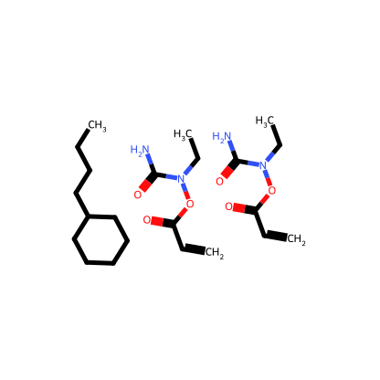 C=CC(=O)ON(CC)C(N)=O.C=CC(=O)ON(CC)C(N)=O.CCCCC1CCCCC1